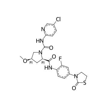 CO[C@@H]1C[C@H](C(=O)Nc2ccc(N3CCSC3=O)cc2F)N(C(=O)Nc2ccc(Cl)cn2)C1